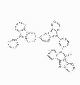 O=c1n(-c2cccc(-n3c4ccccc4c4cc(-c5ccc6c(c5)c5ccccc5n6-c5ccccc5)ccc43)c2)c2ccccc2c2nc3ccccc3n12